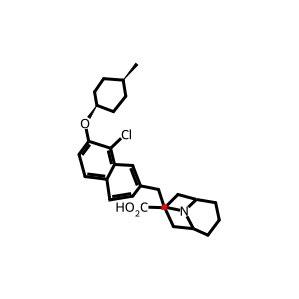 C[C@H]1CC[C@@H](Oc2ccc3ccc(CCN4C5CCCC4CC(C(=O)O)C5)cc3c2Cl)CC1